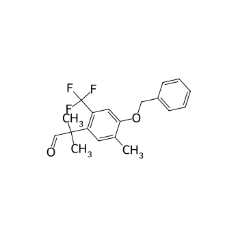 Cc1cc(C(C)(C)C=O)c(C(F)(F)F)cc1OCc1ccccc1